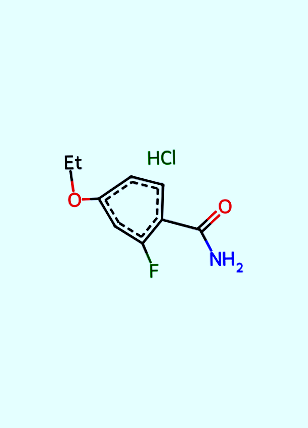 CCOc1ccc(C(N)=O)c(F)c1.Cl